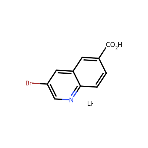 O=C(O)c1ccc2ncc(Br)cc2c1.[Li]